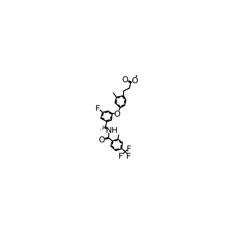 COC(=O)CCc1ccc(Oc2cc(F)cc([C@@H](C)NC(=O)c3ccc(C(F)(F)F)cc3C)c2)cc1C